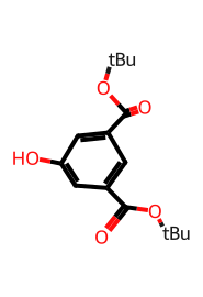 CC(C)(C)OC(=O)c1cc(O)cc(C(=O)OC(C)(C)C)c1